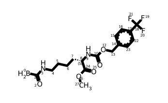 BC(=O)NCCCC[C@H](NC(=O)OCc1ccc(C(F)(F)F)cc1)C(=O)OC